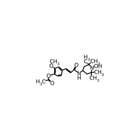 COc1cc(/C=C/C(=O)NC2CC(C)(C)N(O)C(C)(C)C2)ccc1OC(C)=O